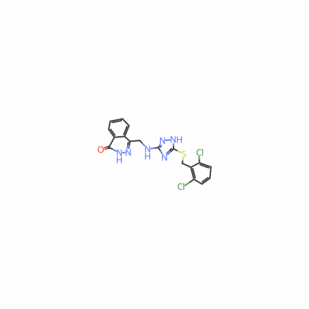 O=c1[nH]nc(CNc2n[nH]c(SCc3c(Cl)cccc3Cl)n2)c2ccccc12